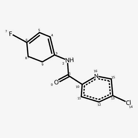 O=C(NC1=CC=C(F)[CH]C1)c1ccc(Cl)cn1